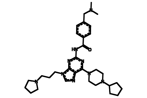 CN(C)Cc1ccc(C(=O)Nc2nc(N3CCN(C4CCCC4)CC3)c3ncn(CCCN4CCCC4)c3n2)cc1